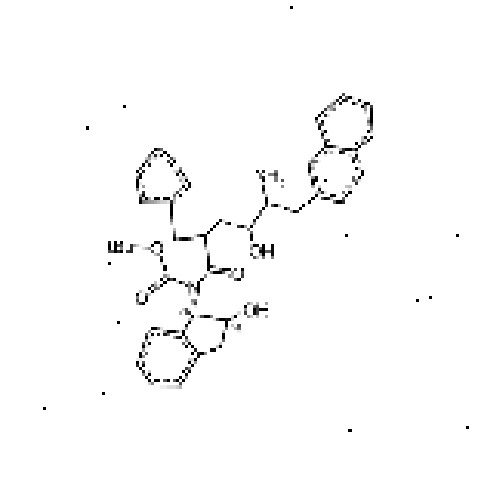 CC(C)(C)OC(=O)N(C(=O)C(Cc1ccccc1)CC(O)C(N)Cc1ccc2ccccc2c1)[C@H]1c2ccccc2C[C@@H]1O